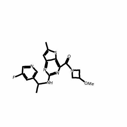 COC1CN(C(=O)c2nc(NC(C)c3cncc(F)c3)nc3cc(C)sc23)C1